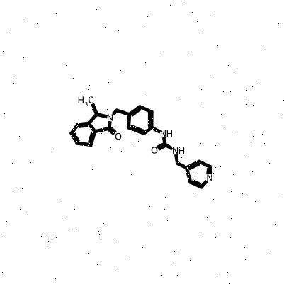 CC1c2ccccc2C(=O)N1Cc1ccc(NC(=O)NCc2ccncc2)cc1